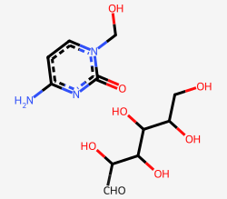 Nc1ccn(CO)c(=O)n1.O=CC(O)C(O)C(O)C(O)CO